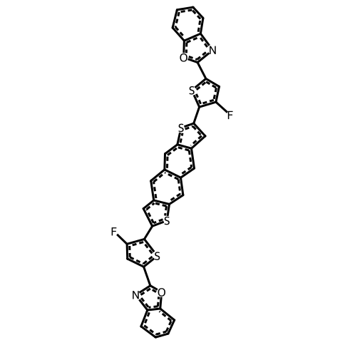 Fc1cc(-c2nc3ccccc3o2)sc1-c1cc2cc3cc4sc(-c5sc(-c6nc7ccccc7o6)cc5F)cc4cc3cc2s1